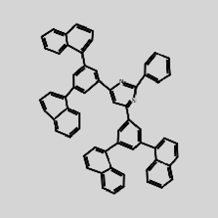 c1ccc(-c2nc(-c3cc(-c4cccc5ccccc45)cc(-c4cccc5ccccc45)c3)cc(-c3cc(-c4cccc5ccccc45)cc(-c4cccc5ccccc45)c3)n2)cc1